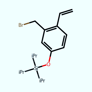 C=Cc1ccc(O[Si](C(C)C)(C(C)C)C(C)C)cc1CBr